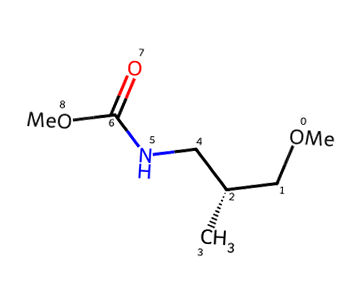 COC[C@H](C)CNC(=O)OC